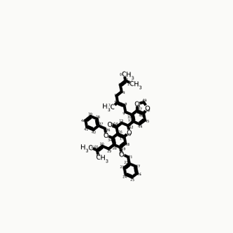 CC(C)=CCC/C(C)=C/Cc1c(C2CC(=O)c3c(cc(OCc4ccccc4)c(CC=C(C)C)c3OCc3ccccc3)O2)ccc2c1OCO2